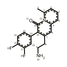 Cc1cccc2cc(CCN)c(-c3ccc(F)c(F)c3)c(=O)n12